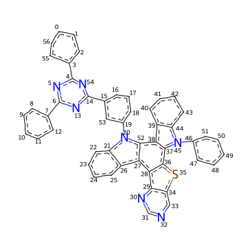 c1ccc(-c2nc(-c3ccccc3)nc(-c3cccc(-n4c5ccccc5c5c6c7ncncc7sc6c6c(c7ccccc7n6-c6ccccc6)c54)c3)n2)cc1